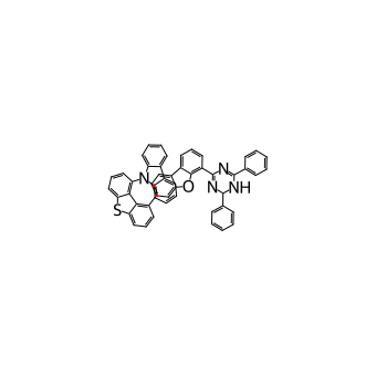 c1ccc(C2=NC(c3cccc4c3oc3cc(-c5cccc6sc7cccc(-n8c9ccccc9c9ccccc98)c7c56)ccc34)=NC(c3ccccc3)N2)cc1